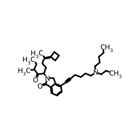 CCCCCN(CCC)CCCCC#Cc1cccc2c1CN(C(CCC(C)=C1CCC1)C(=O)C(C)CC)C2=O